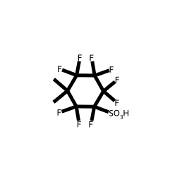 CC1(C)C(F)(F)C(F)(F)C(F)(F)C(F)(S(=O)(=O)O)C1(F)F